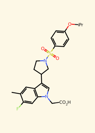 Cc1cc2c(C3CCN(S(=O)(=O)c4ccc(OC(C)C)cc4)C3)cn(CC(=O)O)c2cc1F